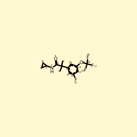 CC(C)(C(=O)NC1CC1)c1cc(F)cc(OC(F)(F)F)c1